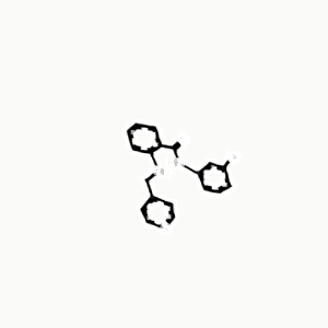 O=C(Nc1cccc(Br)c1)c1ccccc1NCc1ccncc1